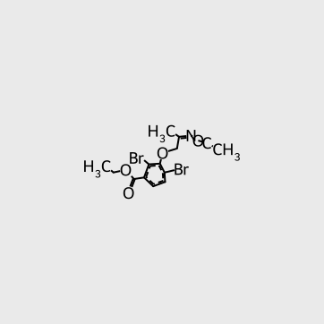 CCO/N=C(/C)COc1c(Br)ccc(C(=O)OCC)c1Br